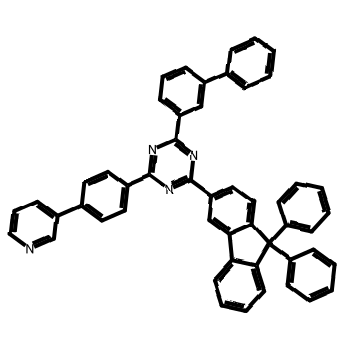 c1ccc(-c2cccc(-c3nc(-c4ccc(-c5cccnc5)cc4)nc(-c4ccc5c(c4)-c4ccccc4C5(c4ccccc4)c4ccccc4)n3)c2)cc1